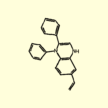 C=Cc1ccc2c(c1)NC=C(c1ccccc1)N2c1ccccc1